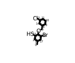 Cc1cc(S)c(OCc2cccc(Cl)c2)c(Br)c1